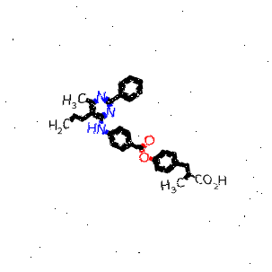 C=CCc1c(C)nc(-c2ccccc2)nc1Nc1ccc(C(=O)Oc2ccc(C[C@H](C)C(=O)O)cc2)cc1